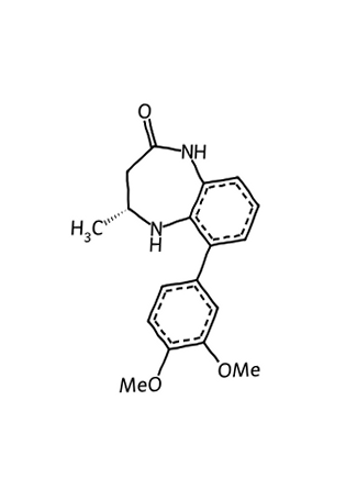 COc1ccc(-c2cccc3c2N[C@H](C)CC(=O)N3)cc1OC